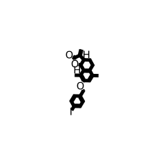 C=C1C(=O)O[C@H]2c3c(C)c(OCc4ccc(I)cc4)cc(C)c3CC[C@@H]12